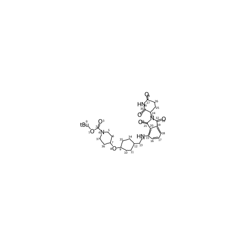 CC(C)(C)OC(=O)N1CCC(OC2CCC(CNc3cccc4c3C(=O)N(C3CCC(=O)NC3=O)C4=O)CC2)CC1